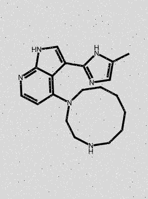 Cc1cnc(-c2c[nH]c3nccc(N4CCCCCCNCC4)c23)[nH]1